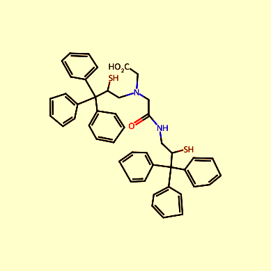 O=C(O)CN(CC(=O)NCC(S)C(c1ccccc1)(c1ccccc1)c1ccccc1)CC(S)C(c1ccccc1)(c1ccccc1)c1ccccc1